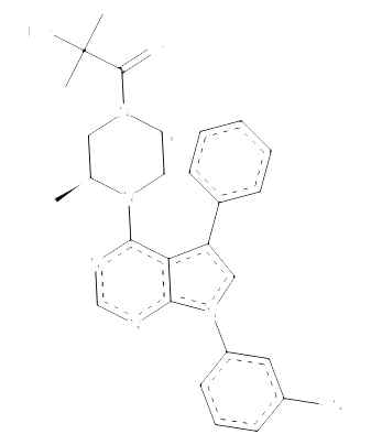 C[C@@H]1CN(c2ncnc3c2c(-c2ccccc2)cn3-c2cccc(C#N)c2)[C@@H](C)CN1C(=O)C(C)(C)O